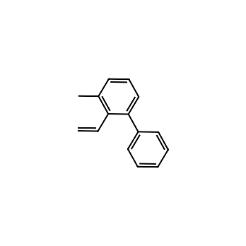 C=Cc1c(C)cccc1-c1ccccc1